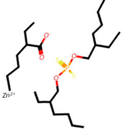 CCCCC(CC)C(=O)[O-].CCCCC(CC)COP(=S)([S-])OCC(CC)CCCC.[Zn+2]